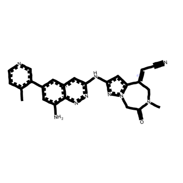 Cc1ccncc1-c1cc(N)c2nnc(Nc3cc4n(n3)CC(=O)N(C)C/C4=C\C#N)cc2c1